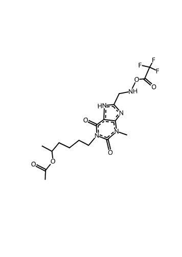 CC(=O)OC(C)CCCCn1c(=O)c2[nH]c(CNOC(=O)C(F)(F)F)nc2n(C)c1=O